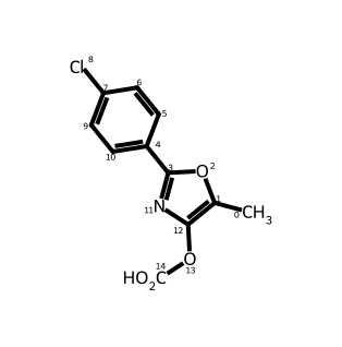 Cc1oc(-c2ccc(Cl)cc2)nc1OC(=O)O